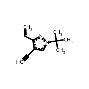 C#Cc1cn(C(C)(C)C)nc1C=C